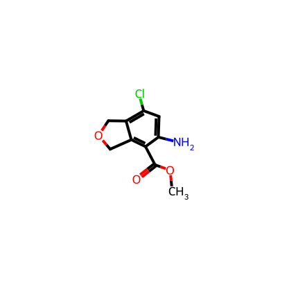 COC(=O)c1c(N)cc(Cl)c2c1COC2